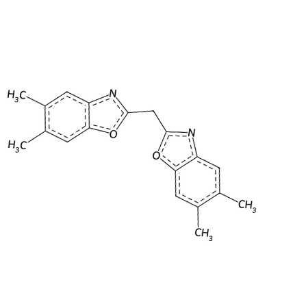 Cc1cc2nc(Cc3nc4cc(C)c(C)cc4o3)oc2cc1C